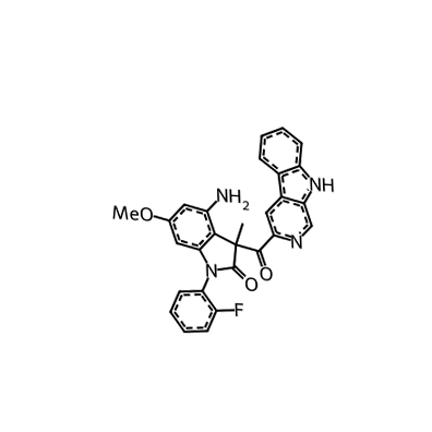 COc1cc(N)c2c(c1)N(c1ccccc1F)C(=O)C2(C)C(=O)c1cc2c(cn1)[nH]c1ccccc12